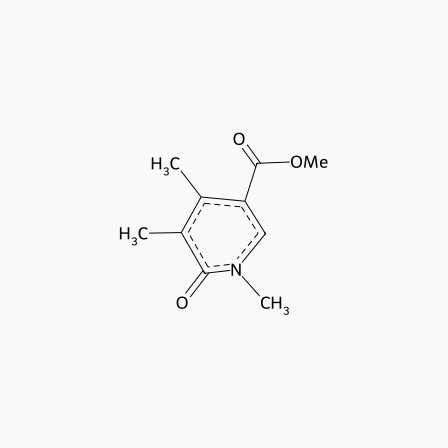 COC(=O)c1cn(C)c(=O)c(C)c1C